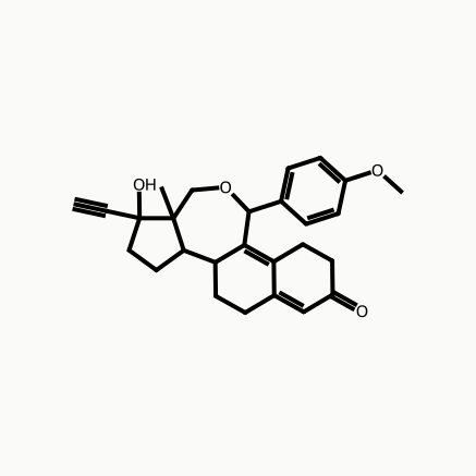 C#CC1(O)CCC2C3CCC4=CC(=O)CCC4=C3C(c3ccc(OC)cc3)OCC21C